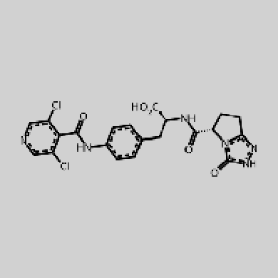 O=C(Nc1ccc(C[C@H](NC(=O)[C@@H]2CCc3n[nH]c(=O)n32)C(=O)O)cc1)c1c(Cl)cncc1Cl